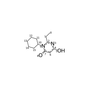 CCc1nc(O)cc(=O)n1C1CCCCC1